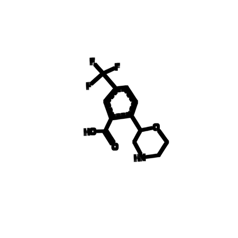 O=C(O)c1cc(C(F)(F)F)ccc1C1CNCCO1